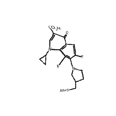 CSCC1CCN(c2c(F)cc3c(=O)c(C(=O)O)cn(C4CC4)c3c2F)C1